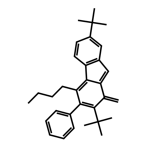 C=c1c(C(C)(C)C)c(-c2ccccc2)c(CCCC)c2c1=Cc1cc(C(C)(C)C)ccc1-2